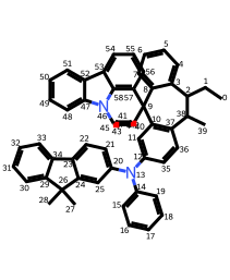 CCC1c2ccccc2C2(c3cc(N(c4ccccc4)c4ccc5c(c4)C(C)(C)c4ccccc4-5)ccc3C1C)c1ccccc1-n1c3ccccc3c3cccc2c31